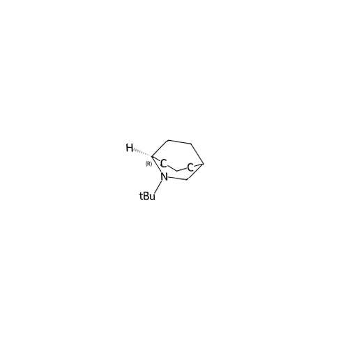 CC(C)(C)N1CC2CCC[C@@H]1CC2